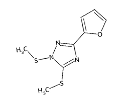 CSc1nc(-c2ccco2)nn1SC